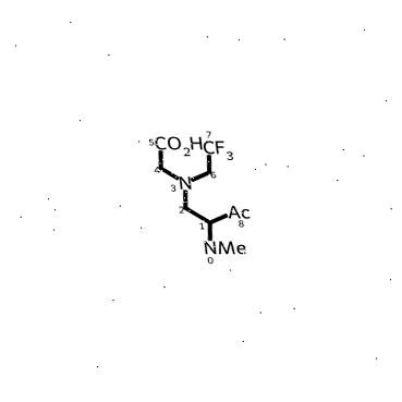 CNC(CN(CC(=O)O)CC(F)(F)F)C(C)=O